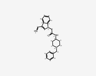 N=Cc1cn(CC(=O)NC2CCN(Cc3ccccc3)CC2)c2ccccc12